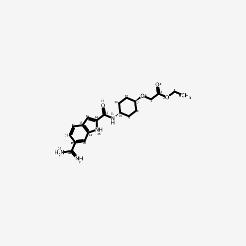 CCOC(=O)CO[C@H]1CC[C@H](NC(=O)c2cc3ccc(C(=N)N)cc3[nH]2)CC1